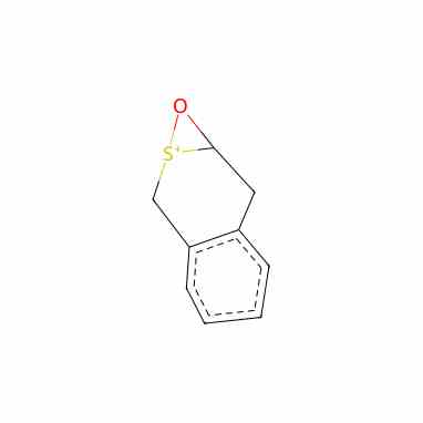 c1ccc2c(c1)CC1O[S+]1C2